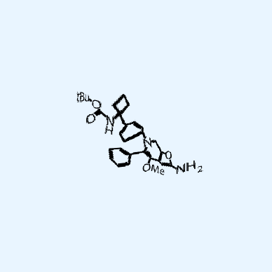 COC1=C(c2ccccc2)N(c2ccc(C3(NC(=O)OC(C)(C)C)CCC3)cc2)Cc2oc(N)cc21